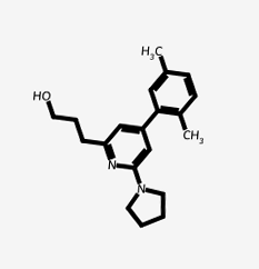 Cc1ccc(C)c(-c2cc(CCCO)nc(N3CCCC3)c2)c1